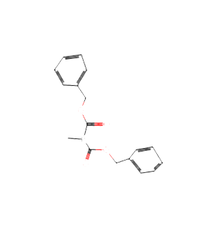 CB(C(=O)OCc1ccccc1)C(=O)OCc1ccccc1